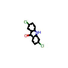 O=c1c2ccc(Cl)cc2[nH]c2ccc(Cl)cc12